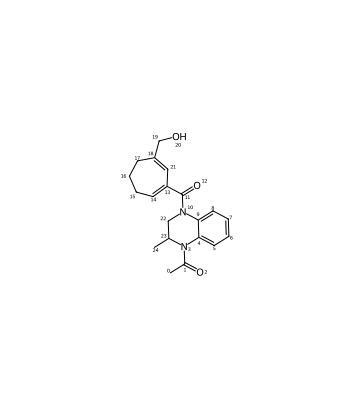 CC(=O)N1c2ccccc2N(C(=O)C2=CCCCC(CO)=C2)CC1C